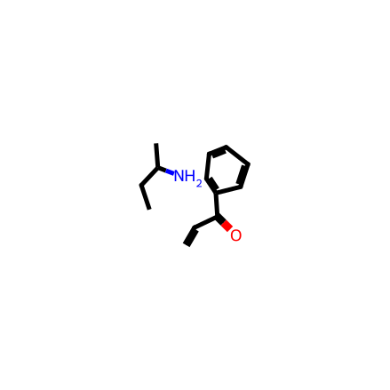 C=CC(=O)c1ccccc1.CCC(C)N